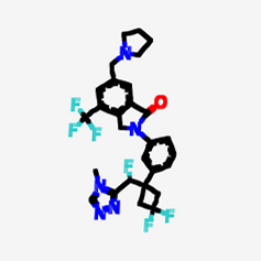 Cn1cnnc1[C@@H](F)C1(c2cccc(N3Cc4c(cc(CN5CCCC5)cc4C(F)(F)F)C3=O)c2)CC(F)(F)C1